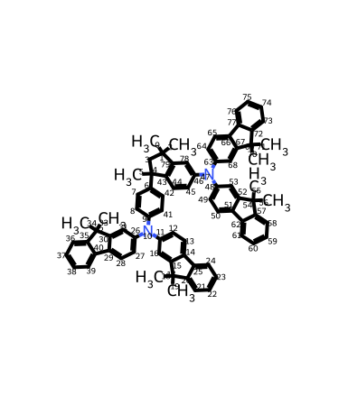 CC1(C)CC(C)(c2ccc(N(c3ccc4c(c3)C(C)(C)c3ccccc3-4)c3ccc4c(c3)C(C)(C)c3ccccc3-4)cc2)c2ccc(N(c3ccc4c(c3)C(C)(C)c3ccccc3-4)c3ccc4c(c3)C(C)(C)c3ccccc3-4)cc21